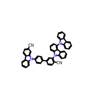 N#Cc1ccc2c3ccccc3n(-c3ccc(-c4ccc(C#N)c(-n5c6ccccc6c6c(-n7c8ccccc8c8ccccc87)cccc65)c4)cc3)c2c1